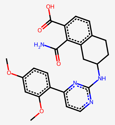 COc1ccc(-c2ccnc(NC3CCc4ccc(C(=O)O)c(C(N)=O)c4C3)n2)c(OC)c1